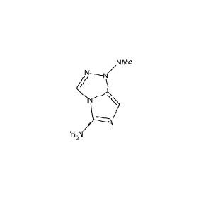 CNn1ncn2c(N)ncc12